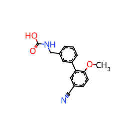 COc1ccc(C#N)cc1-c1cccc(CNC(=O)O)c1